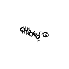 CC1c2cnc(-c3ncccn3)nc2CCN1c1cc(F)cc(OC2CCOCC2)n1